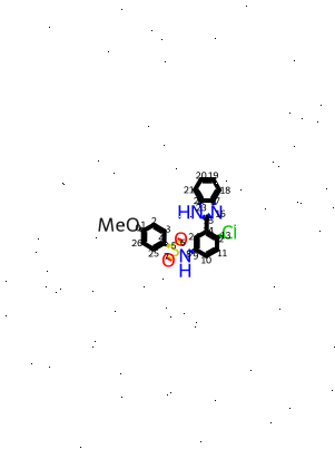 COc1ccc(S(=O)(=O)Nc2ccc(Cl)c(-c3nc4ccccc4[nH]3)c2)cc1